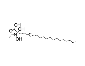 CCCCCCCCCCCCCCCCCCC(O)(C(=O)O)N(O)CC